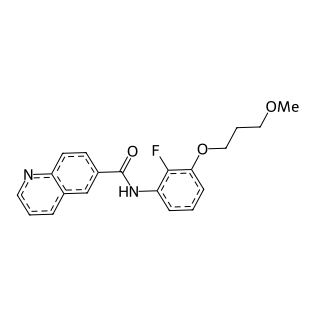 COCCCOc1cccc(NC(=O)c2ccc3ncccc3c2)c1F